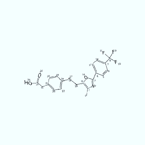 Cc1nc(-c2ccc(C(F)(F)F)cc2)oc1CSc1ccc(CC(=O)O)cc1